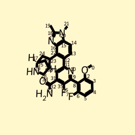 COc1cccc(F)c1-c1nc(-c2ccc3c(nc(C)n3C)c2C2C[C@H]3C[C@@H]2CN3)cc(C(N)=O)c1F